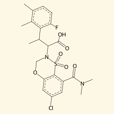 Cc1ccc(F)c(C(C)C(C(=O)O)N2COc3cc(Cl)cc(C(=O)N(C)C)c3S2(=O)=O)c1C